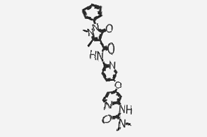 Cc1c(C(=O)Nc2ccc(Oc3ccnc(NC(=O)N(C)C)c3)cn2)c(=O)n(-c2ccccc2)n1C